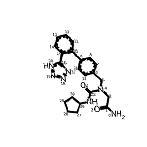 NC(=O)CN(Cc1ccc(-c2ccccc2-c2nnn[nH]2)cc1)C(=O)NC1CCCC1